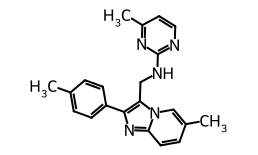 Cc1ccc(-c2nc3ccc(C)cn3c2CNc2nccc(C)n2)cc1